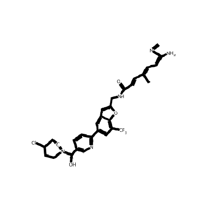 C=N\C(N)=C/C=C(C)/C=C/C(=O)NCc1cc2cc(-c3ccc(C(O)N4CCC(Cl)CC4)cn3)cc(C(F)(F)F)c2o1